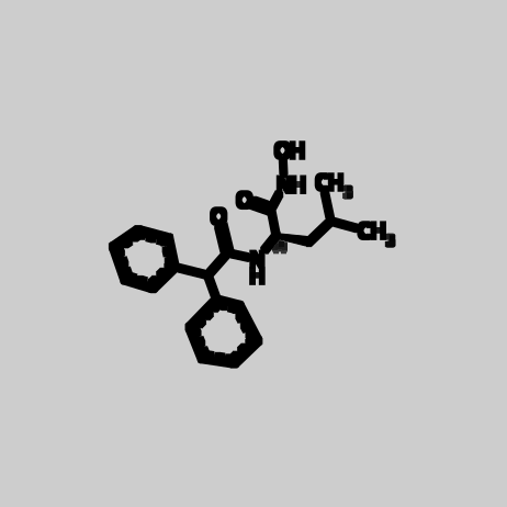 CC(C)C[C@@H](NC(=O)C(c1ccccc1)c1ccccc1)C(=O)NO